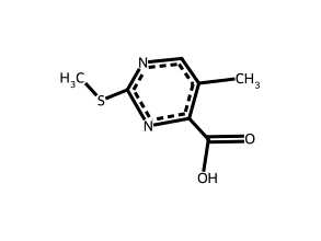 CSc1ncc(C)c(C(=O)O)n1